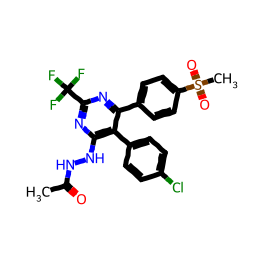 CC(=O)NNc1nc(C(F)(F)F)nc(-c2ccc(S(C)(=O)=O)cc2)c1-c1ccc(Cl)cc1